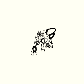 C/C1=C/CCCc2ccc(-n3cnnc3[C@@H]3O[C@H](CO)[C@H](O)[C@H](n4cc(-c5ccc(Cl)c(F)c5)nn4)[C@H]3O)cc2S1